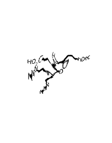 CCCCCCCCCCCCC(=O)N[C@H](CCC(=O)O)C(=O)N(CCN=[N+]=[N-])CCN=[N+]=[N-]